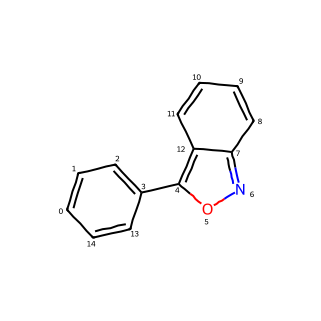 c1ccc(-c2onc3ccccc23)cc1